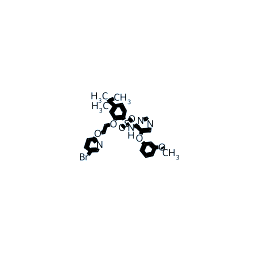 COc1cccc(Oc2cncnc2NS(=O)(=O)c2ccc(C(C)(C)C)cc2OCCOc2ccc(Br)cn2)c1